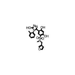 Cc1ccccc1-n1c(O)nnc1-c1cc(S(=O)(=O)N(C)Cc2ccoc2)c(O)cc1O